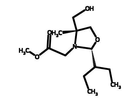 CCC(CC)[C@H]1OC[C@@](C)(CO)N1CC(=O)OC